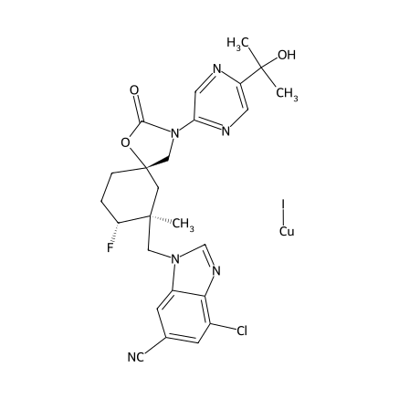 CC(C)(O)c1cnc(N2C[C@@]3(CC[C@@H](F)[C@](C)(Cn4cnc5c(Cl)cc(C#N)cc54)C3)OC2=O)cn1.[Cu][I]